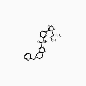 C[C@H](CO)n1nnnc1-c1cccc(NC(=O)c2cc3c(cn2)CCN(Cc2ccccn2)C3)n1